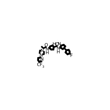 CC(C(=O)Nc1ccc(C(=O)Nc2cc(-c3ccc(F)cc3)ccc2N)cc1)N1CCN(c2ccc(C(F)(F)F)cn2)CC1